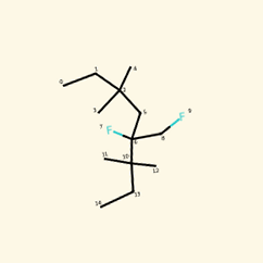 CCC(C)(C)CC(F)(CF)C(C)(C)CC